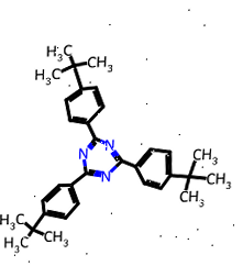 CC(C)(C)c1ccc(-c2nc(-c3ccc(C(C)(C)C)cc3)nc(-c3ccc(C(C)(C)C)cc3)n2)cc1